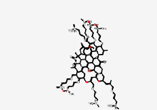 CC(COCCC[SiH](C)O)CC(C)CC(Br)CC(C(Br)CC(C)CC(C)COCCC[SiH](C)O)C(C(Br)CC(C)CC(C)COCCC[SiH](C)O)C(C(Br)CC(C)CC(C)COCCC[SiH](C)O)C(C(Br)CC(C)CC(C)COCCC[SiH](C)O)C(C(Br)CC(C)CC(C)COCCC[SiH](C)O)C(C(Br)CC(C)CC(C)COCCC[SiH](C)O)C(C)(C(Br)CC(C)CC(C)COCCC[SiH](C)O)P(=O)=S=S